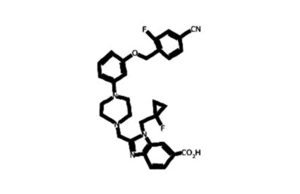 N#Cc1ccc(COc2cccc(N3CCN(Cc4nc5ccc(C(=O)O)cc5n4CC4(F)CC4)CC3)c2)c(F)c1